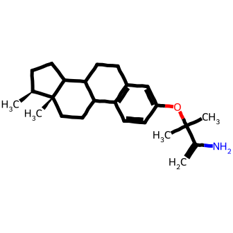 C=C(N)C(C)(C)Oc1ccc2c(c1)CCC1C2CC[C@@]2(C)C1CC[C@@H]2C